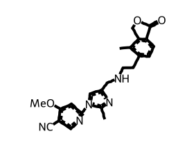 COc1cc(-n2cc(CNCCc3ccc4c(c3C)COC4=O)nc2C)ncc1C#N